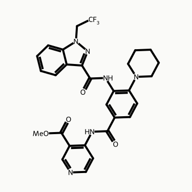 COC(=O)c1cnccc1NC(=O)c1ccc(N2CCCCC2)c(NC(=O)c2nn(CC(F)(F)F)c3ccccc23)c1